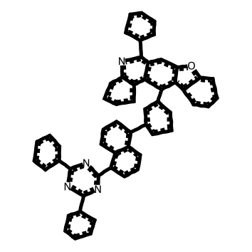 c1ccc(-c2nc(-c3ccccc3)nc(-c3cccc4c(-c5cccc(-c6c7c(cc8c(-c9ccccc9)nc9ccccc9c68)oc6ccccc67)c5)cccc34)n2)cc1